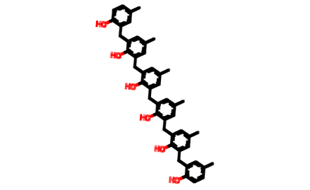 Cc1ccc(O)c(Cc2cc(C)cc(Cc3cc(C)cc(Cc4cc(C)cc(Cc5cc(C)cc(Cc6cc(C)ccc6O)c5O)c4O)c3O)c2O)c1